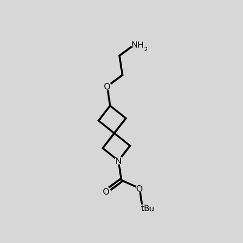 CC(C)(C)OC(=O)N1CC2(CC(OCCN)C2)C1